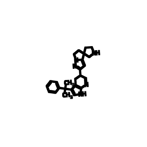 CC(C)(c1ccccc1)c1c[nH]c2c1CC(c1cc3n(n1)CCC31CCNC1)C=N2